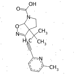 Cc1cccc(C#CC2=NOC3N(C(=O)O)CCC23C(C)(C)C)n1